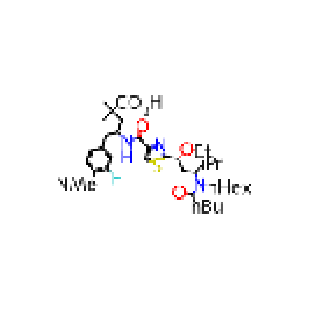 CCCCCCN(C(=O)CCCC)C(CC(OCC)c1nc(C(=O)NC(Cc2ccc(NC)c(F)c2)CC(C)(C)C(=O)O)cs1)C(C)C